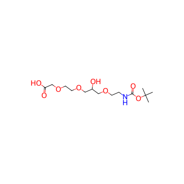 CC(C)(C)OC(=O)NCCOCC(O)COCCOCC(=O)O